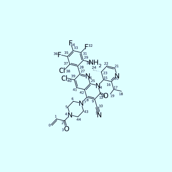 C=CC(=O)N1CCN(c2c(C#N)c(=O)n(C3C(C(C)C)=NC=C[C@H]3C)c3nc(-c4c(N)c(F)c(F)c(F)c4Cl)c(Cl)cc23)CC1